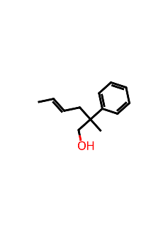 CC=CCC(C)(CO)c1ccccc1